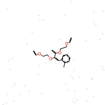 C=COCCOC(=C)/C(=C\c1ccccc1C)OCCOC=C